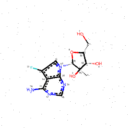 C[C@@]1(O)[C@@H](O)[C@@H](CO)O[C@H]1n1cc(F)c2c(N)ncnc21